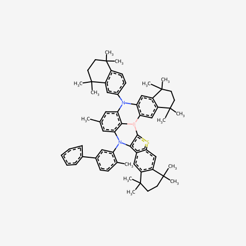 Cc1cc2c3c(c1)N(c1cc(-c4ccccc4)ccc1C)c1c(sc4cc5c(cc14)C(C)(C)CCC5(C)C)B3c1cc3c(cc1N2c1ccc2c(c1)C(C)(C)CCC2(C)C)C(C)(C)CCC3(C)C